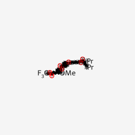 COc1cc(/C=C/C(=O)OCC(F)(F)F)ccc1OC(=O)c1ccc(OCCCCCCOC(=O)C(CCC(C)C)C(C)C)cc1